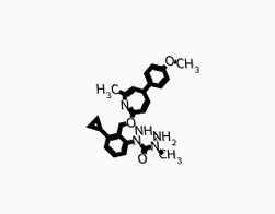 COc1ccc(C2C=CC(OCc3c(C4CC4)cccc3N(N)C(=O)N(C)N)=NC(C)=C2)cc1